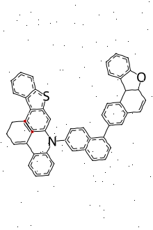 C1=CC(c2ccccc2N(c2ccc3c(-c4ccc5c(c4)C=CC4Oc6ccccc6C54)cccc3c2)c2ccc3c(c2)sc2ccccc23)=CCC1